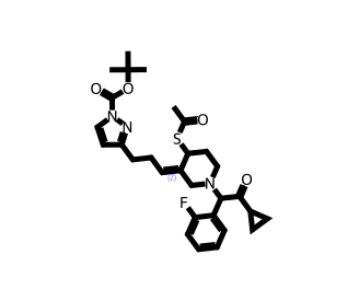 CC(=O)SC1CCN(C(C(=O)C2CC2)c2ccccc2F)C/C1=C/CCc1ccn(C(=O)OC(C)(C)C)n1